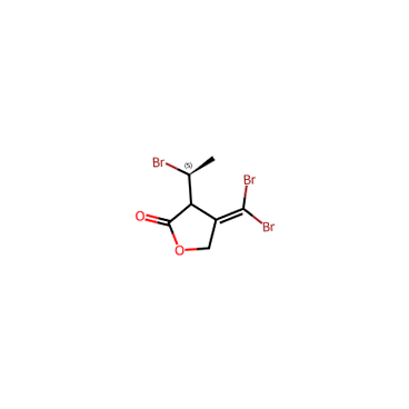 C[C@H](Br)C1C(=O)OCC1=C(Br)Br